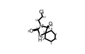 O=C1NC2(CCCCC2)C(=O)N1CCCl